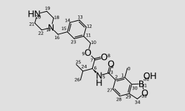 Cc1c(C(=O)N[C@H](C(=O)OCc2cccc(CN3CCNCC3)c2)C(C)C)ccc2c1B(O)OC2